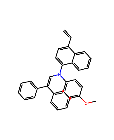 C=Cc1ccc(N(C=C(c2ccccc2)c2ccccc2)c2ccc(OC)cc2)c2ccccc12